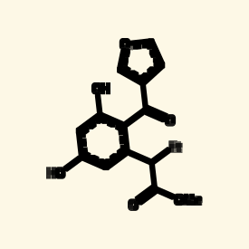 CCC(C(=O)OC)c1cc(O)cc(O)c1C(=O)c1ccoc1